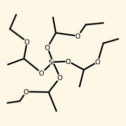 CCOC(C)O[Si](OC(C)OCC)(OC(C)OCC)OC(C)OCC